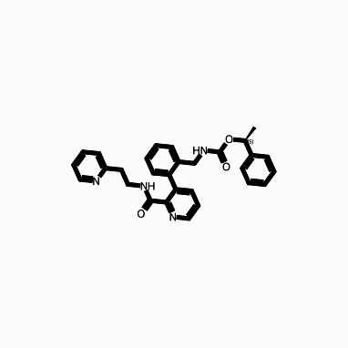 C[C@H](OC(=O)NCc1ccccc1-c1cccnc1C(=O)NCCc1ccccn1)c1ccccc1